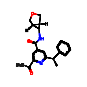 CNC(=O)c1cc(C(=O)N[C@H]2[C@@H]3COC[C@@H]32)cc([C@H](C)c2ccccc2)n1